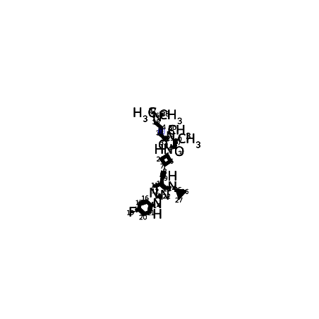 C[C@@H](C(=O)N[C@H]1C[C@H](C#Cc2cnc(Nc3ccc(F)cc3)nc2NC2CC2)C1)N(C)C(=O)/C=C/CN(C)C